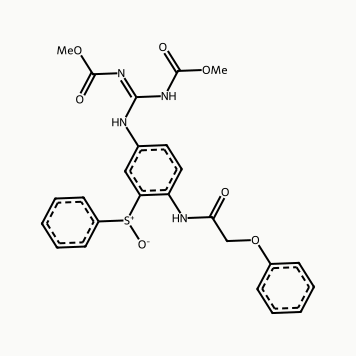 COC(=O)N=C(NC(=O)OC)Nc1ccc(NC(=O)COc2ccccc2)c([S+]([O-])c2ccccc2)c1